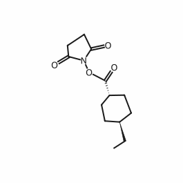 CC[C@H]1CC[C@H](C(=O)ON2C(=O)CCC2=O)CC1